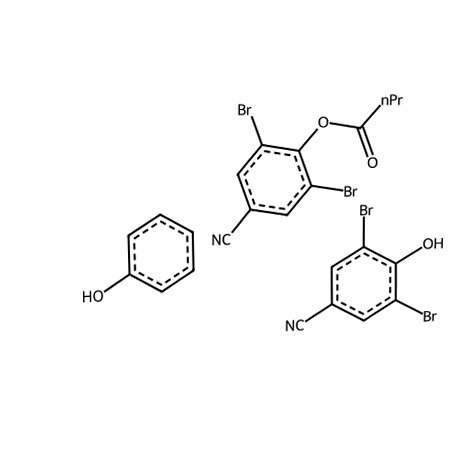 CCCC(=O)Oc1c(Br)cc(C#N)cc1Br.N#Cc1cc(Br)c(O)c(Br)c1.Oc1ccccc1